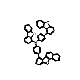 c1ccc2c(c1)ccc1c2oc2cccc(-c3ccc(N(c4ccc(-c5cccc6oc7ccccc7c56)cc4)c4cccc5c4oc4ccccc45)cc3)c21